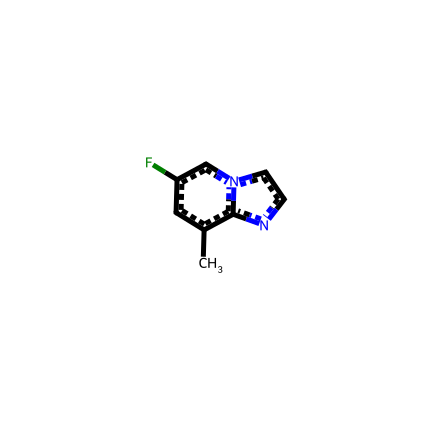 Cc1cc(F)cn2ccnc12